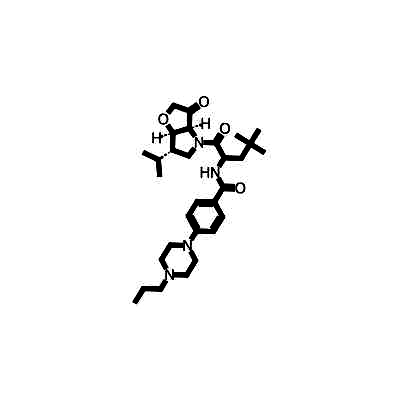 CCCN1CCN(c2ccc(C(=O)NC(CC(C)(C)C)C(=O)N3C[C@H](C(C)C)[C@H]4OCC(=O)[C@H]43)cc2)CC1